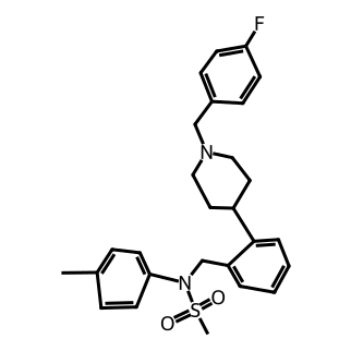 Cc1ccc(N(Cc2ccccc2C2CCN(Cc3ccc(F)cc3)CC2)S(C)(=O)=O)cc1